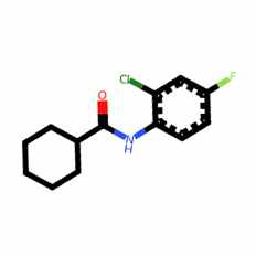 O=C(Nc1ccc(F)cc1Cl)C1CCCCC1